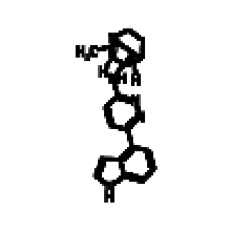 C[C@@H]1[C@@H](Nc2ccc(-c3cccc4[nH]ccc34)nn2)C2CCN1CC2